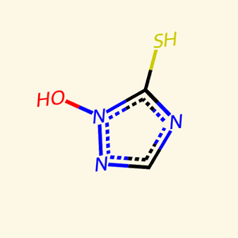 On1ncnc1S